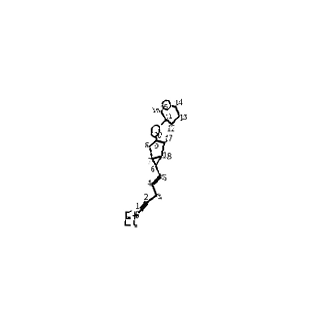 CCC#CCC=CC1C2CC(OC3CCCOC3)CC12